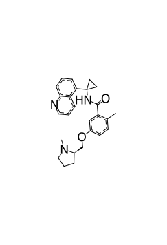 Cc1ccc(OC[C@H]2CCCN2C)cc1C(=O)NC1(c2cccc3ncccc23)CC1